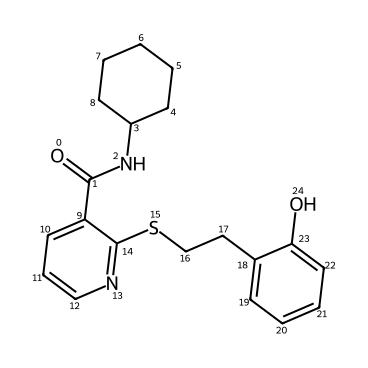 O=C(NC1CCCCC1)c1cccnc1SCCc1ccccc1O